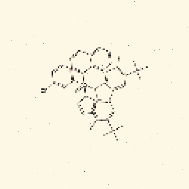 [CH2]=[Zr]([c]1cccc(Cl)c1)([c]1cccc2ccccc12)([CH]1C=CC=C1)[CH]1c2cc(C)c(C(C)(C)C)cc2-c2cc(C(C)(C)C)c(C)cc21